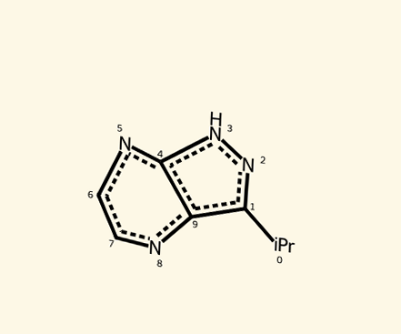 CC(C)c1n[nH]c2nccnc12